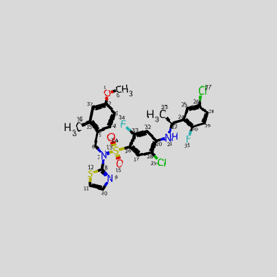 COc1ccc(CN(c2nccs2)S(=O)(=O)c2cc(Cl)c(N[C@@H](C)c3cc(Cl)ccc3F)cc2F)c(C)c1